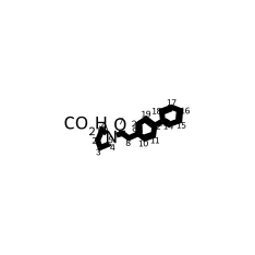 O=C(O)[C@H]1CCCN1C(=O)Cc1ccc(-c2ccccc2)cc1